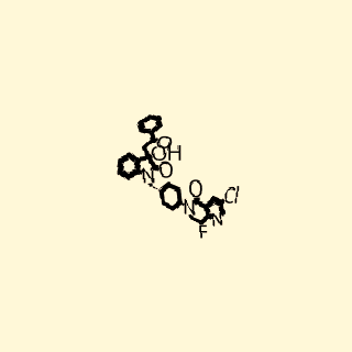 O=C(CC1(O)C(=O)N(C[C@H]2CC[C@H](N3CC(F)c4ncc(Cl)cc4C3=O)CC2)c2ccccc21)c1ccccc1